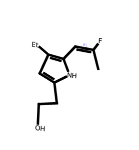 CCc1cc(CCO)[nH]c1/C=C(\C)F